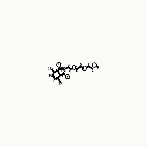 COCCOCCOCCN1C(=O)C2C(C)C=CC(C)C2C1=O